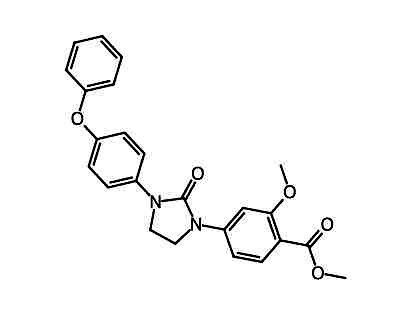 COC(=O)c1ccc(N2CCN(c3ccc(Oc4ccccc4)cc3)C2=O)cc1OC